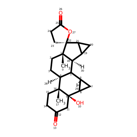 C[C@]12CC[C@H]3C([C@H]4CC4[C@]4(O)CC(=O)CC[C@]34C)[C@@H]1C1CC1[C@@]21CCC(=O)O1